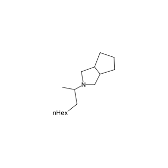 CCCCCCCC(C)N1CC2CCCC2C1